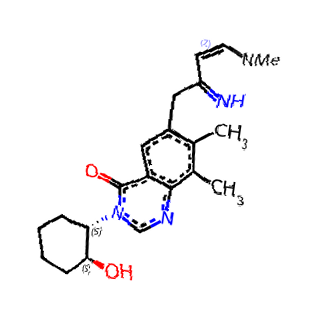 CN/C=C\C(=N)Cc1cc2c(=O)n([C@H]3CCCC[C@@H]3O)cnc2c(C)c1C